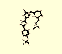 Cc1nc(-c2nc(-c3ccc(OC(F)(F)F)cc3)no2)nn1CC1=NC(CCN(C)C)C(=O)C=C1